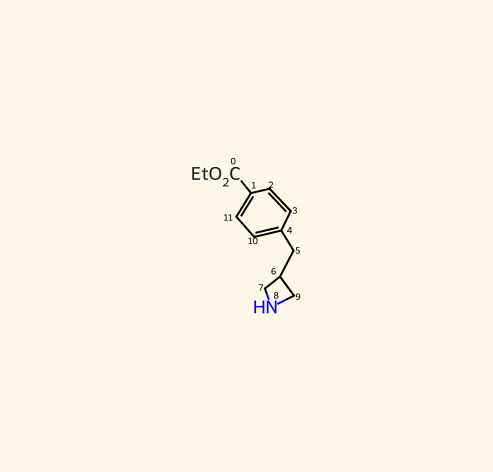 CCOC(=O)c1ccc(CC2CNC2)cc1